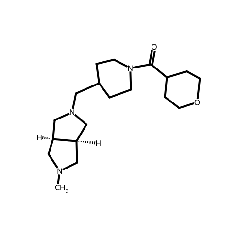 CN1C[C@@H]2CN(CC3CCN(C(=O)C4CCOCC4)CC3)C[C@@H]2C1